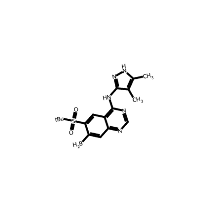 Bc1cc2ncnc(Nc3n[nH]c(C)c3C)c2cc1S(=O)(=O)C(C)(C)C